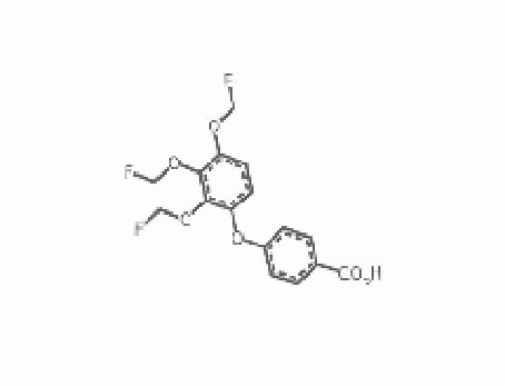 O=C(O)c1ccc(Oc2ccc(OCF)c(OCF)c2OCF)cc1